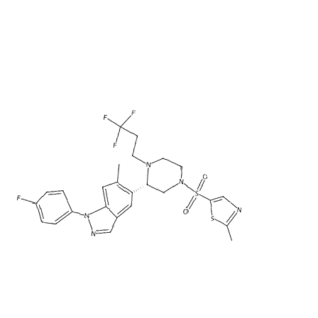 Cc1ncc(S(=O)(=O)N2CCN(CCC(F)(F)F)[C@@H](c3cc4cnn(-c5ccc(F)cc5)c4cc3C)C2)s1